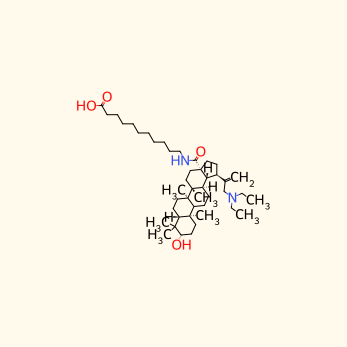 C=C(CN(CC)CC)[C@@H]1CC[C@]2(C(=O)NCCCCCCCCCCC(=O)O)CC[C@]3(C)[C@H](CCC4[C@@]5(C)CC[C@H](O)C(C)(C)[C@@H]5CC[C@]43C)[C@@H]12